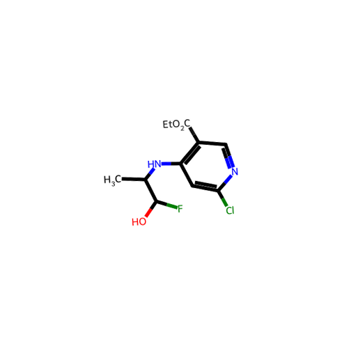 CCOC(=O)c1cnc(Cl)cc1NC(C)C(O)F